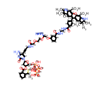 CSSC(C)c1ccccc1C(=O)OC1C[C@H](n2cc(C#CCNC(=O)COCCOC(COc3cccc(C(=O)NCCNC(=O)c4ccc(C5=c6cc7c(c(S(=O)(=O)O)c6Oc6c5cc5c(c6S(=O)(=O)O)NC(C)C5(C)C)=NC(C)C7(C)C)cc4)c3)N=[N+]=[N-])c(N)nc2=O)O[C@@H]1COP(=O)(O)OP(=O)(O)OP(=O)(O)O